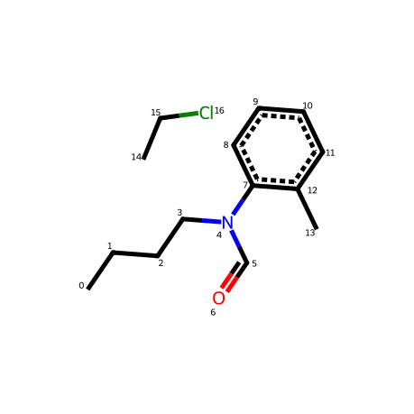 CCCCN(C=O)c1ccccc1C.CCCl